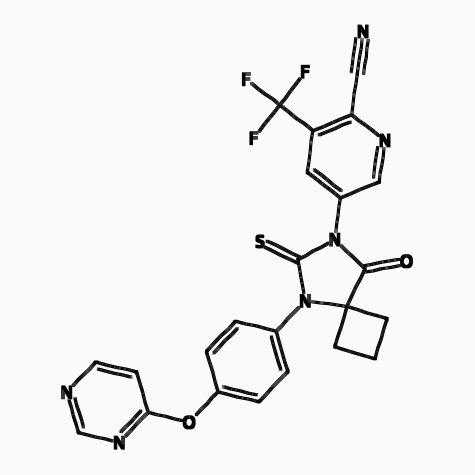 N#Cc1ncc(N2C(=O)C3(CCC3)N(c3ccc(Oc4ccncn4)cc3)C2=S)cc1C(F)(F)F